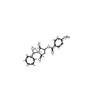 CCCCc1ccc(C(=O)OC2CC(=O)N([C@H](C)c3ccccc3)C2=O)cc1